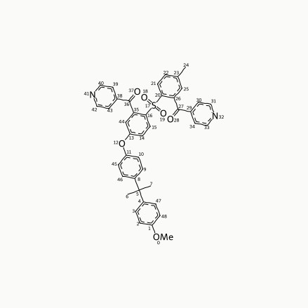 COc1ccc(C(C)(C)c2ccc(Oc3ccc(S(=O)(=O)c4ccc(C)cc4C(=O)c4ccncc4)c(C(=O)c4ccncc4)c3)cc2)cc1